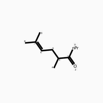 CCCC(=O)C(C)CC=C(C)C